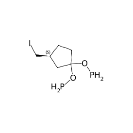 POC1(OP)CC[C@H](CI)C1